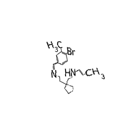 C/C=C/NCCC1(CC/N=C\c2ccc(Br)c(C)c2)CCCC1